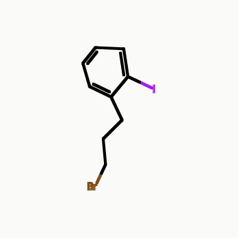 BrCCCc1ccccc1I